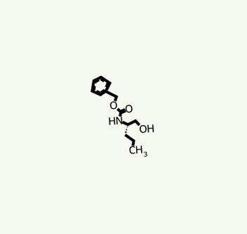 CCC[C@@H](CO)NC(=O)OCc1ccccc1